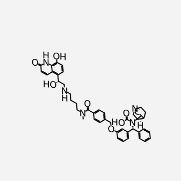 CN(CCCCNC[C@H](O)c1ccc(O)c2[nH]c(=O)ccc12)C(=O)c1ccc(COc2cccc([C@H](c3ccccc3)N(C(=O)O)[C@H]3CN4CCC3CC4)c2)cc1